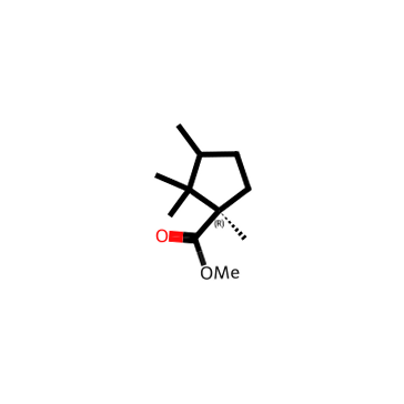 COC(=O)[C@]1(C)CCC(C)C1(C)C